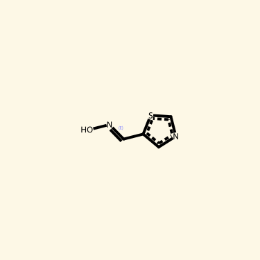 O/N=C/c1cncs1